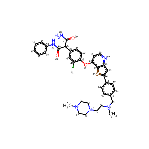 CN1CCN(CCN(C)Cc2ccc(-c3cc4nccc(Oc5ccc(C(C(N)=O)C(=O)Nc6ccccc6)cc5F)c4s3)cc2)CC1